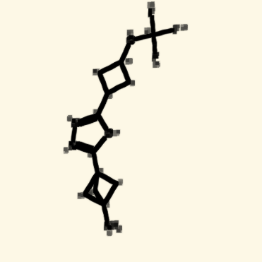 NC12CC(c3nnc(C4CC(OC(F)(F)F)C4)o3)(C1)C2